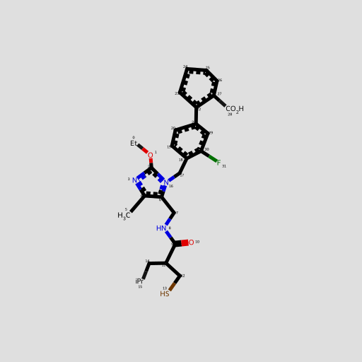 CCOc1nc(C)c(CNC(=O)C(CS)CC(C)C)n1Cc1ccc(-c2ccccc2C(=O)O)cc1F